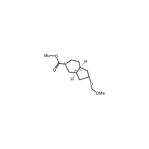 COCOC1C[C@@H]2CCN(C(=O)OC(C)(C)C)C[C@@H]2C1